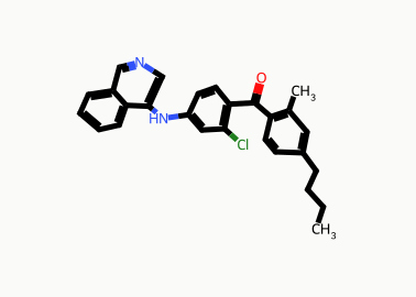 CCCCc1ccc(C(=O)c2ccc(Nc3cncc4ccccc34)cc2Cl)c(C)c1